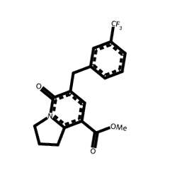 COC(=O)c1cc(Cc2cccc(C(F)(F)F)c2)c(=O)n2c1CCC2